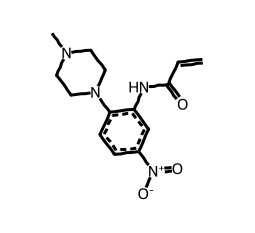 C=CC(=O)Nc1cc([N+](=O)[O-])ccc1N1CCN(C)CC1